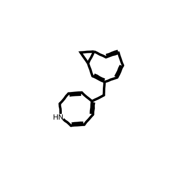 C1=C/NC\C=C/C(CC2=C/C3CC3/C=C/C=C\2)=C\1